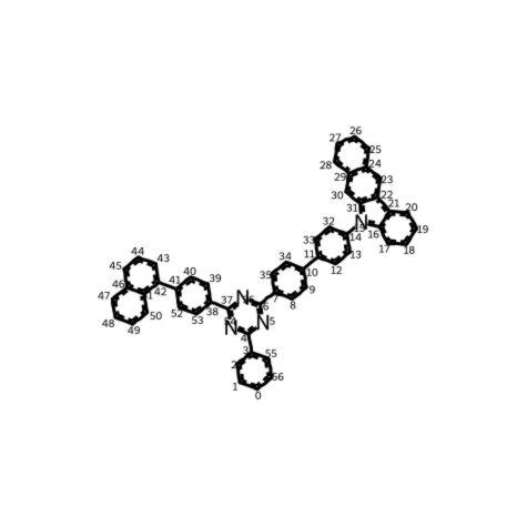 c1ccc(-c2nc(-c3ccc(-c4ccc(-n5c6ccccc6c6cc7ccccc7cc65)cc4)cc3)nc(-c3ccc(-c4cccc5ccccc45)cc3)n2)cc1